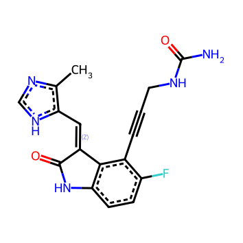 Cc1nc[nH]c1/C=C1\C(=O)Nc2ccc(F)c(C#CCNC(N)=O)c21